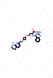 COC(=O)C(CCO[C@H]1C[C@H](CCc2ccc3c(n2)NCCC3)C1)Nc1ncnc2ccccc12